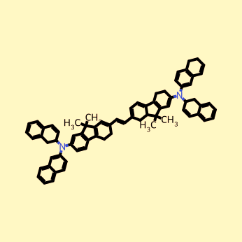 CC1(C)C2=C(CCC(/C=C/C3=CC=C4C5=C(C=C(N(c6ccc7c(c6)C=CCC7)C6C=Cc7ccccc7C6)CC5)C(C)(C)C4C3)=C2)c2ccc(N(c3ccc4ccccc4c3)C3C=Cc4ccccc4C3)cc21